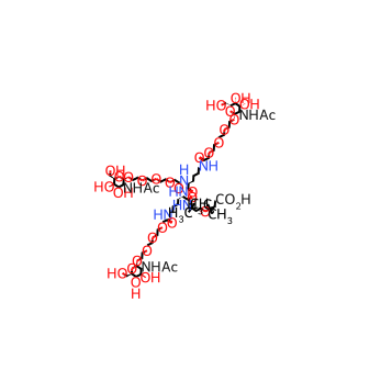 CC(=O)N[C@H]1[C@H](OCCOCCOCCOCC(=O)NCCCC[C@H](NC(=O)COCCOCCOCCO[C@@H]2O[C@H](CO)[C@H](O)C(O)[C@H]2NC(C)=O)C(=O)N[C@@H](CCCCNC(=O)COCCOCCOCCO[C@@H]2O[C@H](CO)C(O)[C@H](O)[C@H]2NC(C)=O)C(=O)NC(C)(C)CCOC(C)(C)CCC(=O)O)O[C@H](CO)[C@H](O)[C@@H]1O